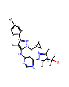 Cc1nn(-c2cc(Nc3c(C)c(-c4ccc(C#N)cc4)nn3CC3CC3)ncn2)c(C)c1C(C)(C)O